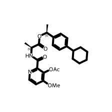 COc1ccnc(C(=O)N[C@@H](C)C(=O)O[C@@H](C)c2ccc(C3CCCCC3)cc2)c1OC(C)=O